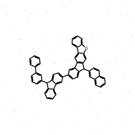 c1ccc(-c2cccc(C3c4ccccc4-c4cc(-c5ccc6c(c5)-c5cc7c(cc5C6c5ccc6ccccc6c5)oc5ccccc57)ccc43)c2)cc1